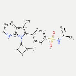 CCC1CCC1n1c(-c2ccc(S(=O)(=O)N[C@@H](C)C(F)(F)F)cc2)c(C#N)c2cccnc21